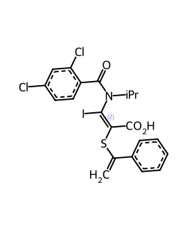 C=C(S/C(C(=O)O)=C(\I)N(C(=O)c1ccc(Cl)cc1Cl)C(C)C)c1ccccc1